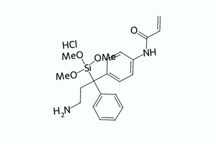 C=CC(=O)Nc1ccc(C(CCN)(c2ccccc2)[Si](OC)(OC)OC)cc1.Cl